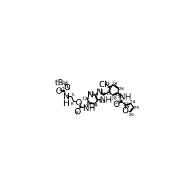 CC(C)(C)OC(=O)NCCOC(=O)Nc1cnc2nc(-c3cc(NC(=O)c4ccco4)ccc3Cl)[nH]c2c1